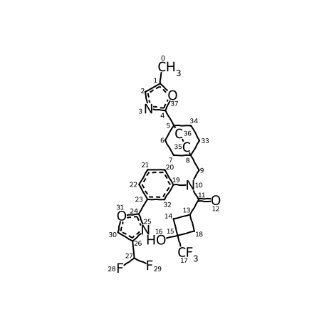 Cc1cnc(C23CCC(CN(C(=O)C4CC(O)(C(F)(F)F)C4)c4cccc(-c5nc(C(F)F)co5)c4)(CC2)CC3)o1